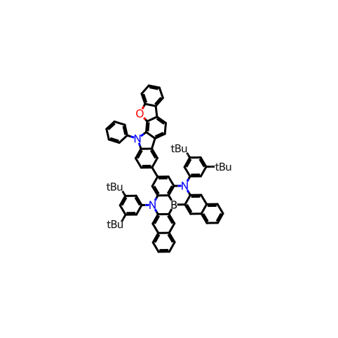 CC(C)(C)c1cc(N2c3cc4ccccc4cc3B3c4cc5ccccc5cc4N(c4cc(C(C)(C)C)cc(C(C)(C)C)c4)c4cc(-c5ccc6c(c5)c5ccc7c8ccccc8oc7c5n6-c5ccccc5)cc2c43)cc(C(C)(C)C)c1